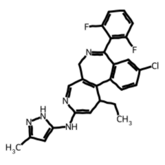 CCC1C=C(Nc2cc(C)n[nH]2)N=CC2=C1c1ccc(Cl)cc1C(c1c(F)cccc1F)=NC2